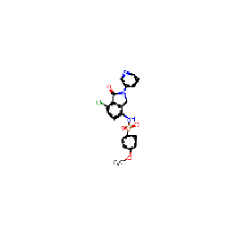 O=C1c2c(Cl)ccc(NS(=O)(=O)c3ccc(OC(F)(F)F)cc3)c2CN1c1cccnc1